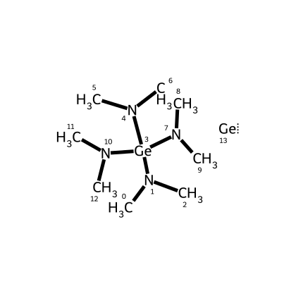 C[N](C)[Ge]([N](C)C)([N](C)C)[N](C)C.[Ge]